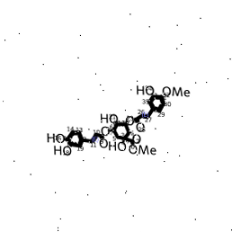 COC(=O)[C@@]1(O)C[C@@H](OC(=O)/C=C/c2ccc(O)c(O)c2)[C@H](O)[C@H](OC(=O)/C=C/c2ccc(OC)c(O)c2)C1